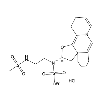 CCCS(=O)(=O)N(CCNS(C)(=O)=O)[C@H]1CC23CCCCC2=CN2C=CCCC2=C3O1.Cl